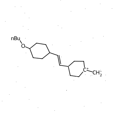 [CH2-][C+]1CCC(C=CC2CCC(OCCCC)CC2)CC1